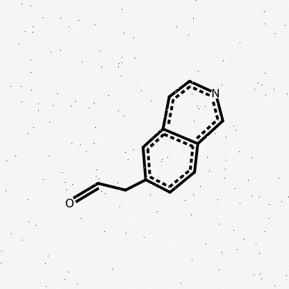 O=CCc1ccc2cnccc2c1